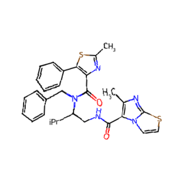 Cc1nc(C(=O)N(Cc2ccccc2)C(CNC(=O)c2c(C)nc3sccn23)C(C)C)c(-c2ccccc2)s1